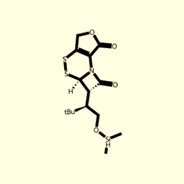 C[SiH](C)OC[C@H]([C@H]1C(=O)N2C3=C(COC3=O)SS[C@H]12)C(C)(C)C